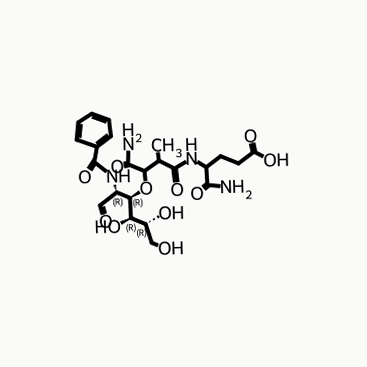 CC(C(=O)NC(CCC(=O)O)C(N)=O)C(O[C@@H]([C@H](O)[C@H](O)CO)[C@H](C=O)NC(=O)c1ccccc1)C(N)=O